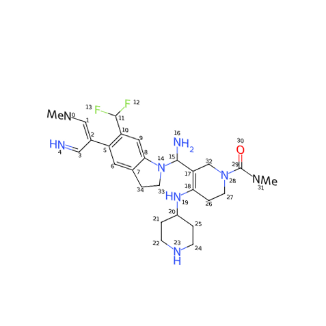 CN/C=C(\C=N)c1cc2c(cc1C(F)F)N(C(N)C1=C(NC3CCNCC3)CCN(C(=O)NC)C1)CC2